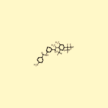 Cc1cc(C(F)(C(F)(F)F)C(F)(F)F)cc(C(F)(F)F)c1N(C)C(=O)c1cccc(NC(=O)c2ccc(N)cc2)c1